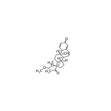 COCO[C@]1(C(C)=O)CC[C@H]2[C@@H]3CCC4=CC(=O)C=C[C@]4(C)[C@H]3CC[C@@]21C